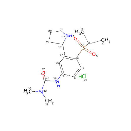 CC(C)S(=O)(=O)c1ccc(NC(=O)N(C)C)cc1C1CCCN1.Cl